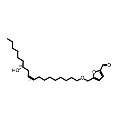 CCCCCC[C@@H](O)C/C=C\CCCCCCCCOCc1ccc(C=O)o1